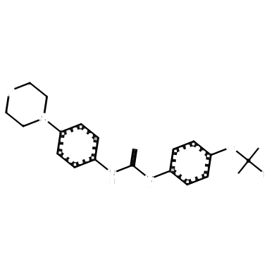 O=C(Nc1ccc(OC(F)(F)F)cc1)Nc1ccc(N2CCOCC2)cc1